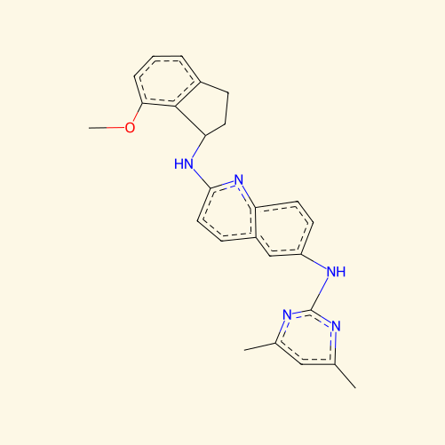 COc1cccc2c1C(Nc1ccc3cc(Nc4nc(C)cc(C)n4)ccc3n1)CC2